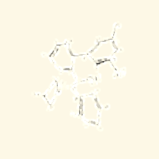 Cc1cc(Cl)cc(-c2ncccc2[C@@H](O)[C@H](c2ccccn2)N2CCC2)c1